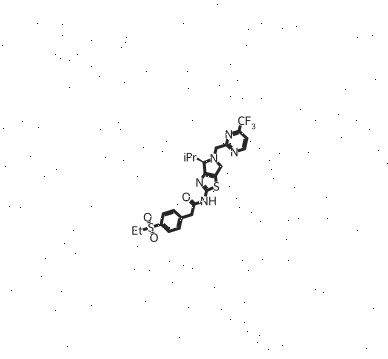 CCS(=O)(=O)c1ccc(CC(=O)Nc2nc3c(s2)CN(Cc2nccc(C(F)(F)F)n2)[C@@H]3C(C)C)cc1